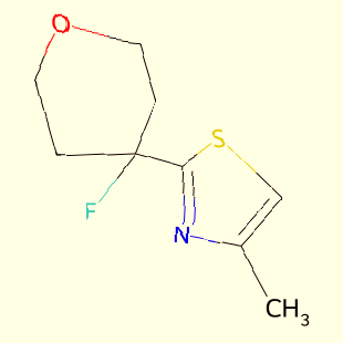 Cc1csc(C2(F)CCOCC2)n1